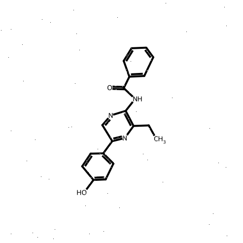 CCc1nc(-c2ccc(O)cc2)cnc1NC(=O)c1ccccc1